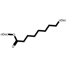 CCCCCCCCCCCCCCCCCC(=O)OCCCCCCCCCC